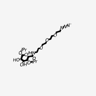 CC(C)O[C@@H]1OC(C(=O)NCCOCCOCCOCCN=[N+]=[N-])[C@@H](OC(C)C)[C@H](O)[C@@H]1O